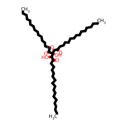 CCCCCCCCCCCCCCCCCC(=O)C(O)C(O)(C(=O)CCCCCCCCCCCCCCC)C(O)C(=O)CCCCCCCCCCCCCCC